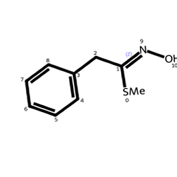 CS/C(Cc1ccccc1)=N\O